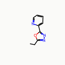 CCc1nnc(-c2ccccn2)o1